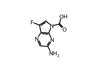 Nc1cnc2c(F)cn(C(=O)O)c2n1